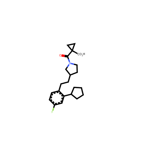 O=C(O)C1(C(=O)N2CCC(CCc3ccc(F)cc3C3CCCC3)C2)CC1